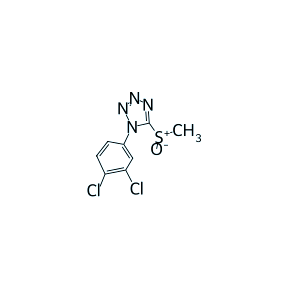 C[S+]([O-])c1nnnn1-c1ccc(Cl)c(Cl)c1